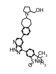 CC1(C)N[S+]([O-])c2cc(-c3n[nH]c4ncc(-c5ccc6c(c5)CCC(N5CCCC5CO)CC6)cc34)ccc21